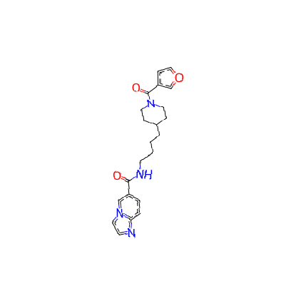 O=C(NCCCCC1CCN(C(=O)c2ccoc2)CC1)c1ccc2nccn2c1